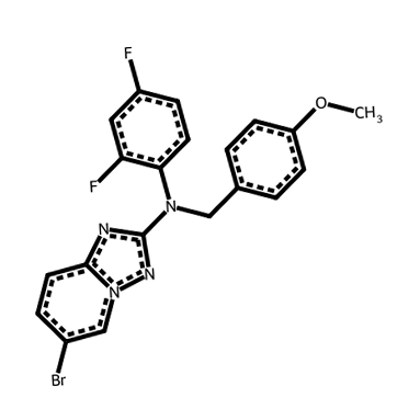 COc1ccc(CN(c2nc3ccc(Br)cn3n2)c2ccc(F)cc2F)cc1